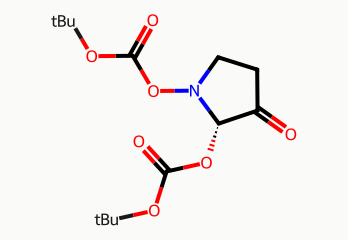 CC(C)(C)OC(=O)O[C@H]1C(=O)CCN1OC(=O)OC(C)(C)C